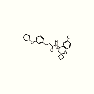 O=C(CCc1cccc(OC2CCCC2)c1)N[C@@H]1CC2(CCC2)Oc2ccc(Cl)cc21